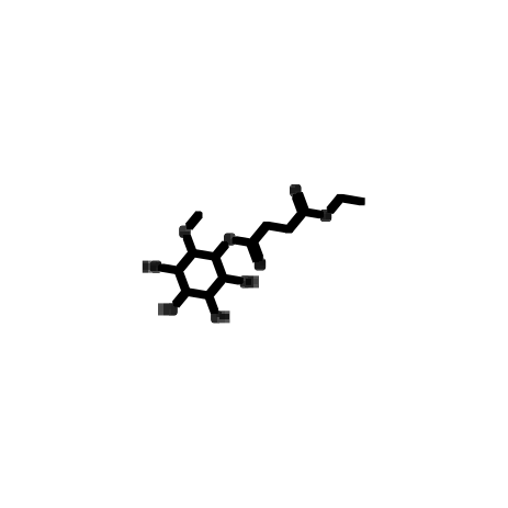 CCOC(=O)CCC(=O)OC1C(O)C(O)C(O)C(O)C1OC